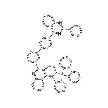 c1ccc(-c2nc(-c3ccc(-c4cccc(-c5nc6ccccc6c6c7c(ccc56)C(c5ccccc5)(c5ccccc5)c5ccccc5-7)c4)cc3)c3ccccc3n2)cc1